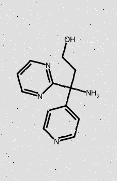 NC(CCO)(c1ccncc1)c1ncccn1